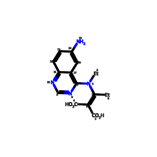 CCC(=C(C(=O)O)C(=O)O)N(CC)c1ncnc2ccc(N)cc12